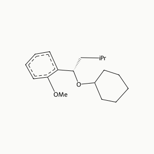 COc1ccccc1[C@H](CC(C)C)OC1CCCCC1